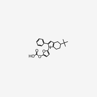 CC(C)(C)C1CCc2c(cc(-c3ccccc3)n2-c2ccc(OC(=O)O)o2)C1